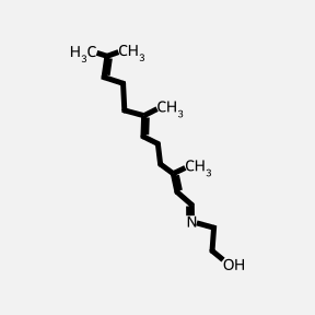 CC(C)=CCC/C(C)=C/CC/C(C)=C/C=N/CCO